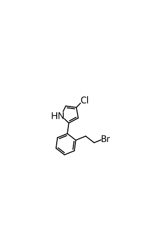 Clc1c[nH]c(-c2ccccc2CCBr)c1